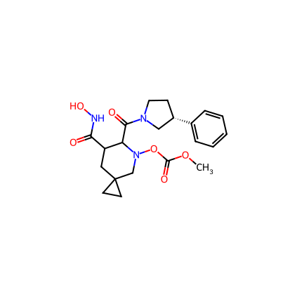 COC(=O)ON1CC2(CC2)CC(C(=O)NO)C1C(=O)N1CC[C@H](c2ccccc2)C1